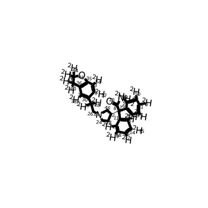 [2H]c1c([2H])c([2H])c(C(C(N)=O)(c2c([2H])c([2H])c([2H])c([2H])c2[2H])[C@@H]2CCN(CC([2H])([2H])c3c([2H])c([2H])c4c(c3[2H])C([2H])([2H])C([2H])([2H])O4)C2)c([2H])c1[2H]